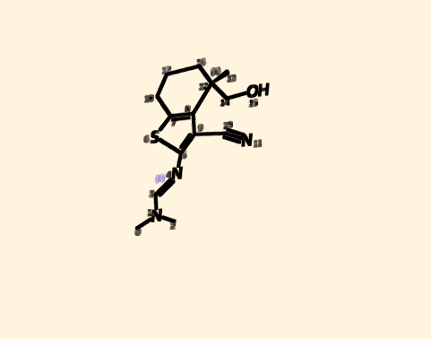 CN(C)/C=N/c1sc2c(c1C#N)[C@@](C)(CO)CCC2